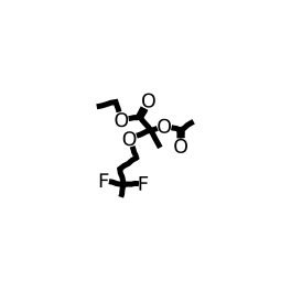 CCOC(=O)C(C)(OCCC(C)(F)F)OC(C)=O